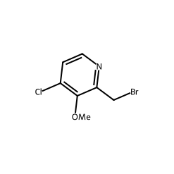 COc1c(Cl)ccnc1CBr